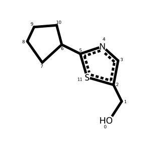 OCc1cnc(C2CCCC2)s1